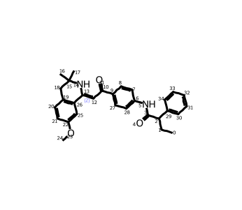 CCC(C(=O)Nc1ccc(C(=O)/C=C2\NC(C)(C)Cc3ccc(OC)cc32)cc1)c1ccccc1